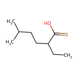 CCC(CCC(C)C)C(O)=S